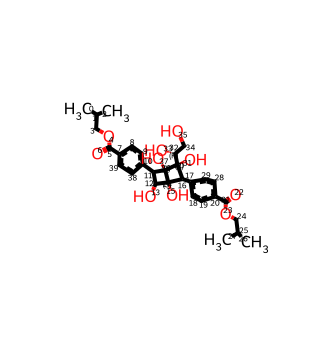 CC(C)COC(=O)c1ccc(C2C(O)[C@@]3(O)C(c4ccc(C(=O)OCC(C)C)cc4)[C@@](O)([C@H](O)CO)[C@@]23O)cc1